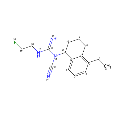 CCc1cccc2c1CCCC2N(C#N)C(=N)NCCF